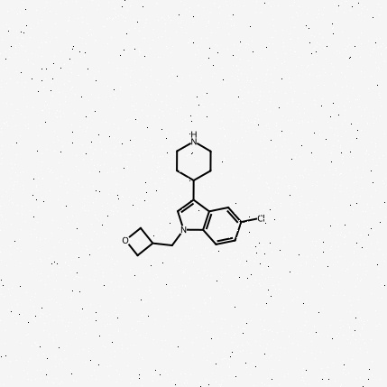 Clc1ccc2c(c1)c(C1CCNCC1)cn2CC1COC1